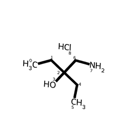 CCC(O)(CC)CN.Cl